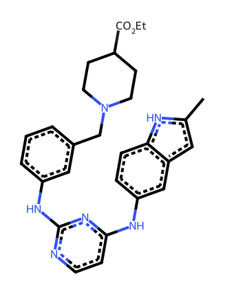 CCOC(=O)C1CCN(Cc2cccc(Nc3nccc(Nc4ccc5[nH]c(C)cc5c4)n3)c2)CC1